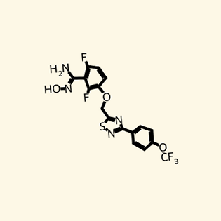 N/C(=N\O)c1c(F)ccc(OCc2nc(-c3ccc(OC(F)(F)F)cc3)ns2)c1F